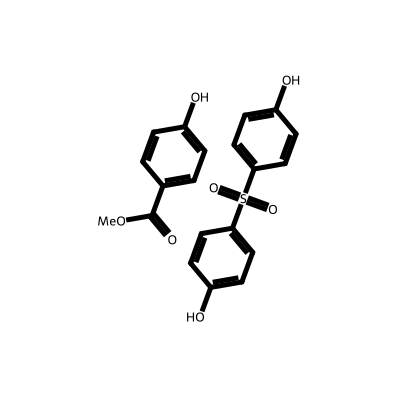 COC(=O)c1ccc(O)cc1.O=S(=O)(c1ccc(O)cc1)c1ccc(O)cc1